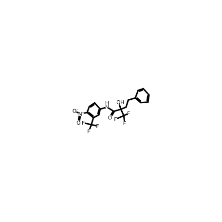 O=C(Nc1ccc([N+](=O)[O-])c(C(F)(F)F)c1)C(O)(CCc1ccccc1)C(F)(F)F